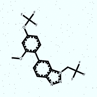 COc1cc(OC(F)(F)F)ccc1-c1ccc2nnn(CC(F)(F)F)c2c1